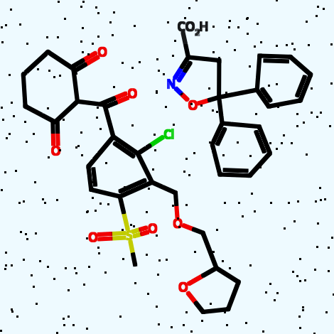 CS(=O)(=O)c1ccc(C(=O)C2C(=O)CCCC2=O)c(Cl)c1COCC1CCCO1.O=C(O)C1=NOC(c2ccccc2)(c2ccccc2)C1